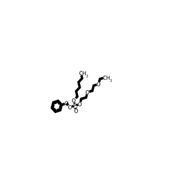 CCCCCCOP(=O)(OCCOCCOCC)OOc1ccccc1